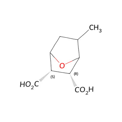 CC1CC2OC1[C@H](C(=O)O)[C@@H]2C(=O)O